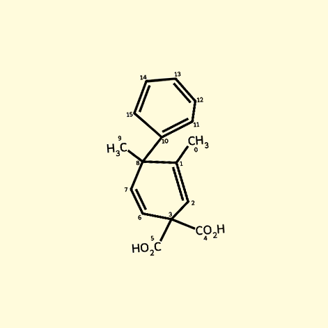 CC1=CC(C(=O)O)(C(=O)O)C=CC1(C)c1ccccc1